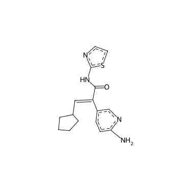 Nc1ccc(/C(=C\C2CCCC2)C(=O)Nc2nccs2)cn1